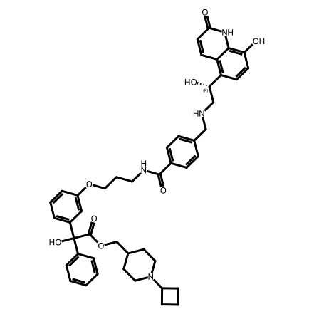 O=C(NCCCOc1cccc(C(O)(C(=O)OCC2CCN(C3CCC3)CC2)c2ccccc2)c1)c1ccc(CNC[C@H](O)c2ccc(O)c3[nH]c(=O)ccc23)cc1